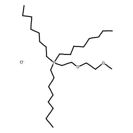 CCCCCCCC[P+](CCCCCCCC)(CCCCCCCC)CCOCCOC.[Cl-]